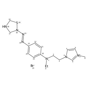 CCN(CCn1cc[n+](C)c1)c1ccc(/N=N/N2CNCS2)cc1.[Br-]